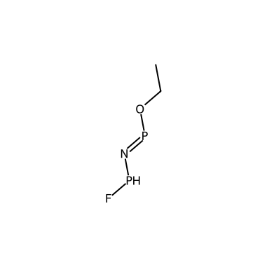 CCO/P=N/PF